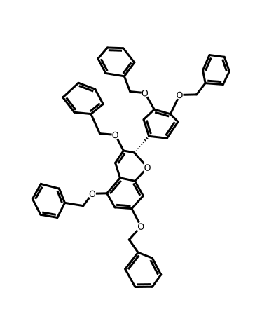 C1=C(OCc2ccccc2)[C@H](c2ccc(OCc3ccccc3)c(OCc3ccccc3)c2)Oc2cc(OCc3ccccc3)cc(OCc3ccccc3)c21